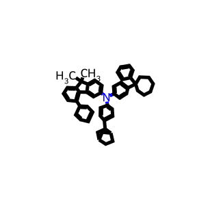 CC1(C)c2ccc(N(c3ccc(C4CC5CCC4C5)cc3)c3ccc(C4(c5ccccc5)CCCCCC4)cc3)cc2-c2c(-c3ccccc3)cccc21